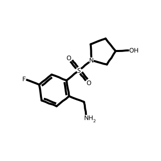 NCc1ccc(F)cc1S(=O)(=O)N1CCC(O)C1